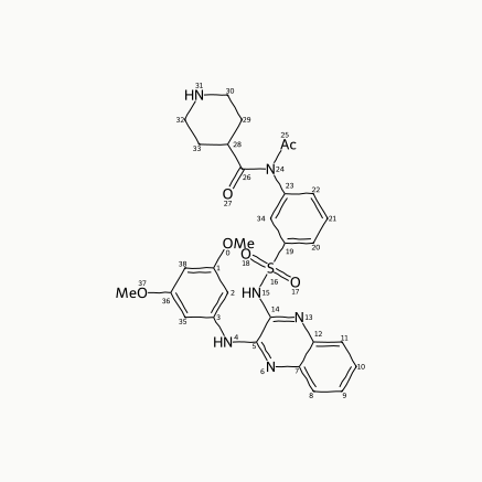 COc1cc(Nc2nc3ccccc3nc2NS(=O)(=O)c2cccc(N(C(C)=O)C(=O)C3CCNCC3)c2)cc(OC)c1